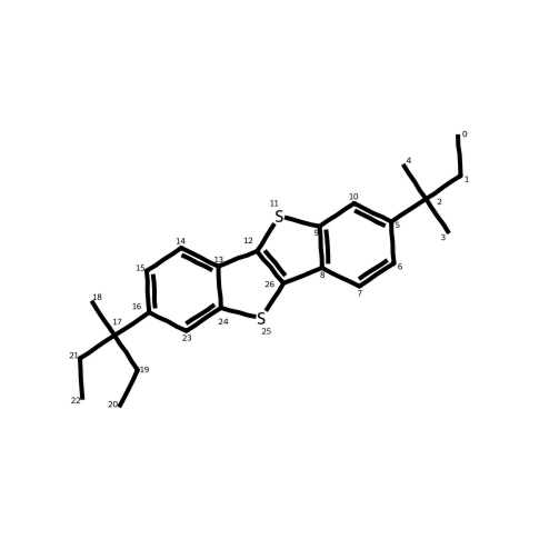 CCC(C)(C)c1ccc2c(c1)sc1c3ccc(C(C)(CC)CC)cc3sc21